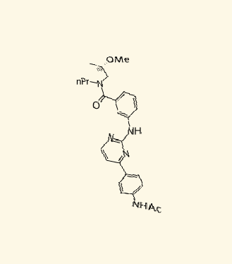 CCCN(C[C@H](C)OC)C(=O)c1cccc(Nc2nccc(-c3ccc(NC(C)=O)cc3)n2)c1